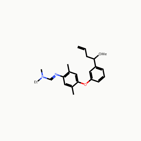 C=CCC(OC)c1cccc(Oc2cc(C)c(N=CN(C)CC)cc2C)c1